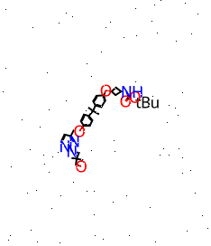 CC(C)(C)OC(=O)N[C@H]1C[C@@H](Oc2ccc(C(C)(C)c3ccc(OCc4ccnc(N5CC6(COC6)C5)n4)cc3)cc2)C1